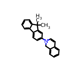 CC1(C)c2ccccc2-c2ccc(N3C=Cc4ccccc4C3)cc21